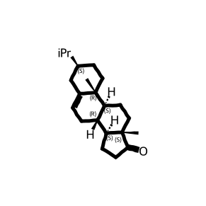 CC(C)[C@H]1CC[C@@]2(C)C(=CC[C@@H]3[C@@H]2CC[C@]2(C)C(=O)CC[C@@H]32)C1